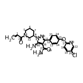 C=CC(=O)N1CCC[C@@H](n2nc(-c3ccc(Oc4ccc(Cl)cn4)cc3)c(C(N)=O)c2N)C1